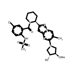 CO[C@@H]1CN(c2nc3cc([C@@H]4CCCCN4C(=O)c4cc(Cl)ccc4NS(C)(=O)=O)nn3cc2C)C[C@H]1C#N